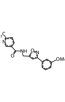 COc1cccc(-c2cc(CNC(=O)c3ccc(C(F)(F)F)nc3)on2)c1